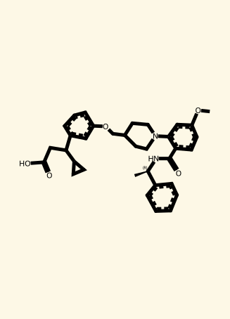 COc1ccc(C(=O)N[C@H](C)c2ccccc2)c(N2CCC(COc3cccc(C(CC(=O)O)C4CC4)c3)CC2)c1